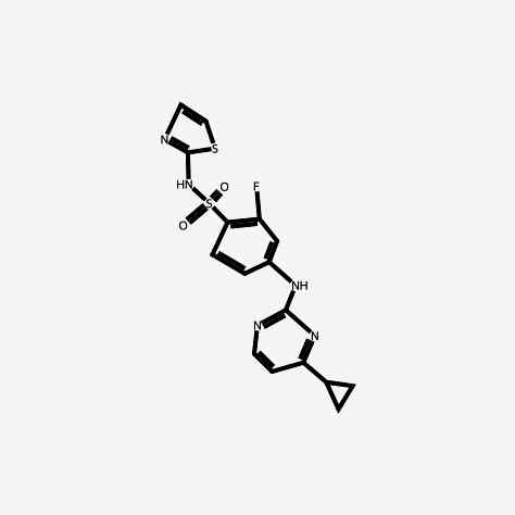 O=S(=O)(Nc1nccs1)c1ccc(Nc2nccc(C3CC3)n2)cc1F